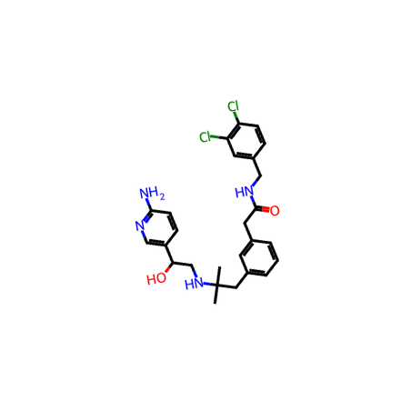 CC(C)(Cc1cccc(CC(=O)NCc2ccc(Cl)c(Cl)c2)c1)NCC(O)c1ccc(N)nc1